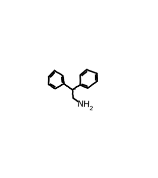 NC[C](c1ccccc1)c1ccccc1